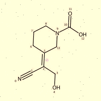 N#C/C(CO)=C1\CCCN(C(=O)O)C1